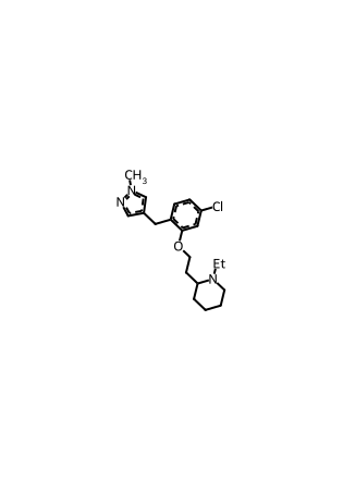 CCN1CCCCC1CCOc1cc(Cl)ccc1Cc1cnn(C)c1